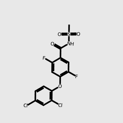 CS(=O)(=O)NC(=O)c1cc(F)c(Oc2ccc(Cl)cc2Cl)cc1F